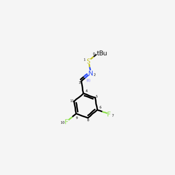 CC(C)(C)S/N=C/c1cc(F)cc(F)c1